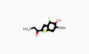 COc1cc2sc(C(=O)CS(=O)(=O)O)cc2c(F)c1O